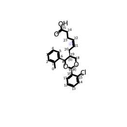 Cc1ccccc1[C@@H]1O[C@H](c2ccccc2Cl)OC[C@@H]1C/C=C\CCC(=O)O